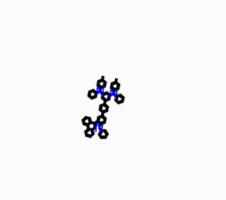 Cc1ccc(N(c2ccccc2)c2cc(-c3ccc(-c4ccc5c(c4)c4c6ccccc6c6ccccc6c4n5-c4ccccc4)cc3)cc(N(c3ccccc3)c3ccc(C)cc3)c2)cc1